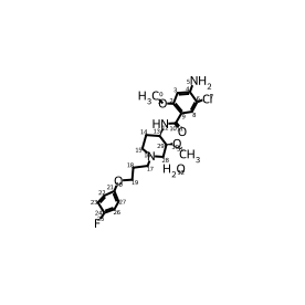 COc1cc(N)c(Cl)cc1C(=O)N[C@@H]1CCN(CCCOc2ccc(F)cc2)C[C@@H]1OC.O